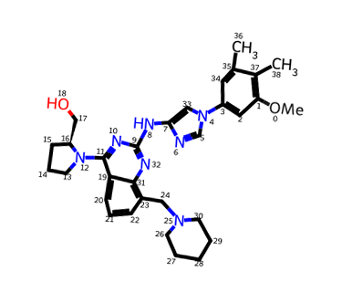 COc1cc(-n2cnc(Nc3nc(N4CCC[C@H]4CO)c4cccc(CN5CCCCC5)c4n3)c2)cc(C)c1C